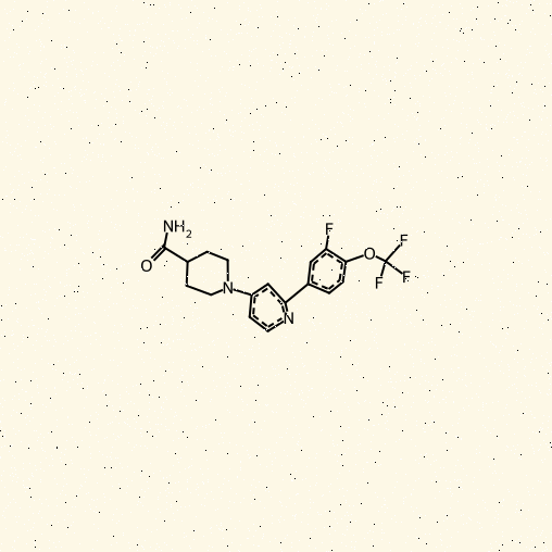 NC(=O)C1CCN(c2ccnc(-c3ccc(OC(F)(F)F)c(F)c3)c2)CC1